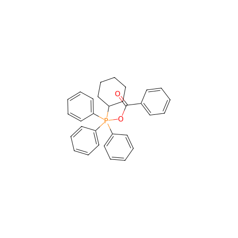 O=C(OP(c1ccccc1)(c1ccccc1)(c1ccccc1)C1CCCCC1)c1ccccc1